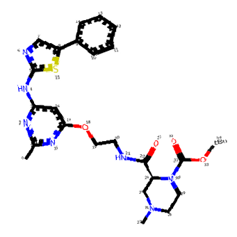 Cc1nc(Nc2ncc(-c3ccccc3)s2)cc(OCCNC(=O)[C@@H]2CN(C)CCN2C(=O)OC(C)(C)C)n1